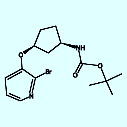 CC(C)(C)OC(=O)N[C@@H]1CC[C@H](Oc2cccnc2Br)C1